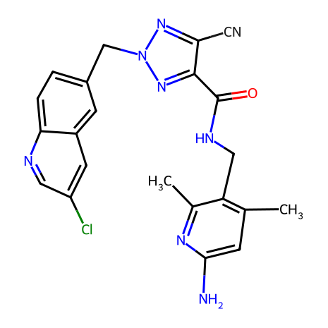 Cc1cc(N)nc(C)c1CNC(=O)c1nn(Cc2ccc3ncc(Cl)cc3c2)nc1C#N